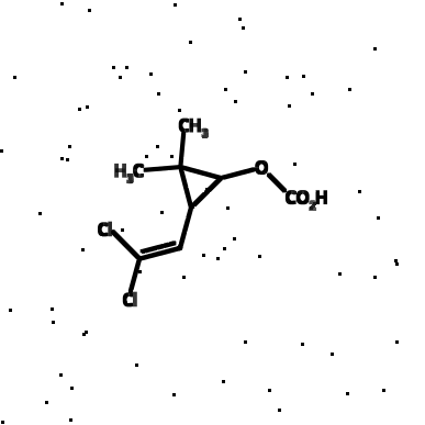 CC1(C)C(C=C(Cl)Cl)C1OC(=O)O